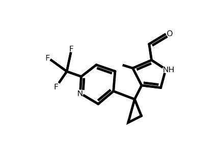 Cc1c(C2(c3ccc(C(F)(F)F)nc3)CC2)c[nH]c1C=O